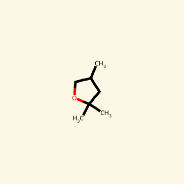 CC1COC(C)(C)C1